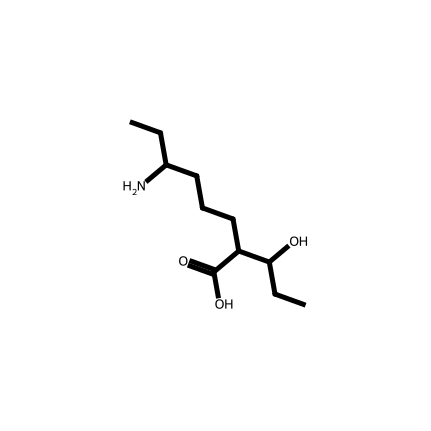 CCC(N)CCCC(C(=O)O)C(O)CC